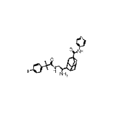 CC(C)(C(=O)NCC(N)C1C2CC3CC1CC(C(=O)Nc1ccncc1)(C3)C2)c1ccc(F)cc1